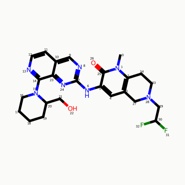 Cn1c2c(cc(Nc3ncc4ccnc(N5CCCCC5CO)c4n3)c1=O)CN(CC(F)F)CC2